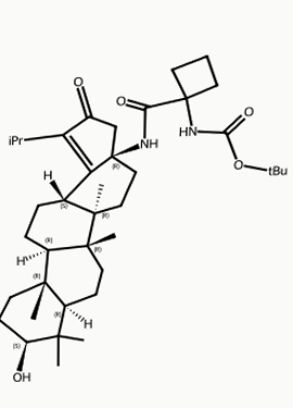 CC(C)C1=C2[C@H]3CC[C@@H]4[C@@]5(C)CC[C@H](O)C(C)(C)[C@@H]5CC[C@@]4(C)[C@]3(C)CC[C@@]2(NC(=O)C2(NC(=O)OC(C)(C)C)CCC2)CC1=O